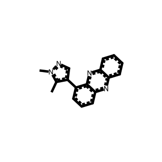 Cc1c(-c2cccc3nc4ccccc4nc23)cnn1C